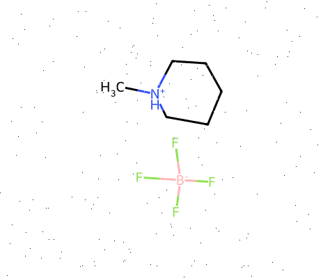 C[NH+]1CCCCC1.F[B-](F)(F)F